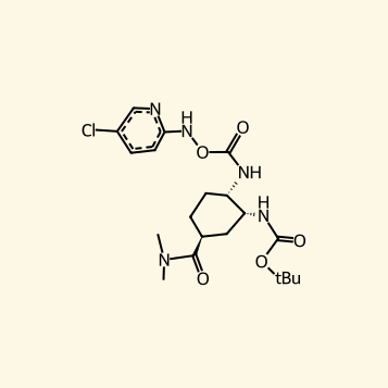 CN(C)C(=O)[C@H]1CC[C@H](NC(=O)ONc2ccc(Cl)cn2)[C@H](NC(=O)OC(C)(C)C)C1